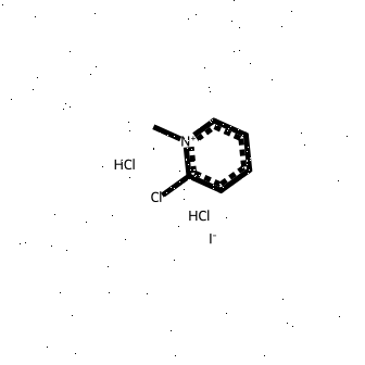 C[n+]1ccccc1Cl.Cl.Cl.[I-]